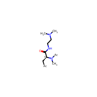 CC(=O)C[C@@H](C(=O)NCCN(C)C)N(C)C(C)=O